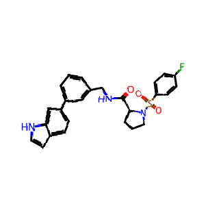 O=C(NCc1cccc(-c2ccc3cc[nH]c3c2)c1)[C@@H]1CCCN1S(=O)(=O)c1ccc(F)cc1